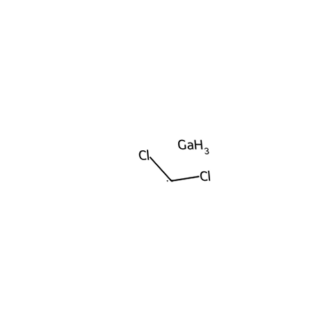 Cl[CH]Cl.[GaH3]